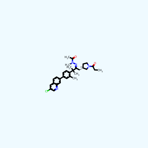 CCC(=O)N1CC[C@@H](C/C(=N/N(C)C(C)=O)C(C)(C)c2ccc(-c3ccc4cc(Cl)cnc4c3)cc2C)C1